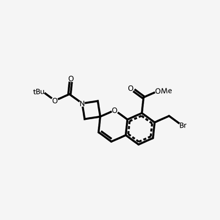 COC(=O)c1c(CBr)ccc2c1OC1(C=C2)CN(C(=O)OC(C)(C)C)C1